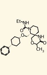 CCNC(=O)N1CCC[C@@]2(COC(C)C(=O)N2)[C@@H]1CO[C@H]1CC[C@@H](c2ccccc2)CC1